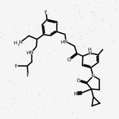 CC1=CC(N2CCC(C#N)(C3CC3)C2=O)=CC(C(=O)CNCc2cc(F)cc(C(CN)CNCC(F)F)c2)N1